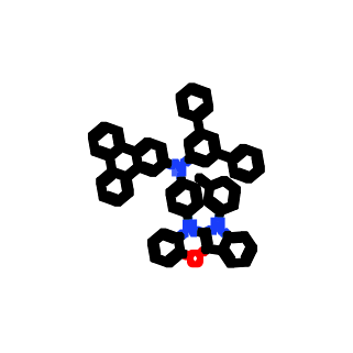 CC1C=C(n2c3c(c4ccccc42)Oc2ccccc2N3c2ccc(N(c3cc(-c4ccccc4)cc(-c4ccccc4)c3)c3ccc4c5ccccc5c5ccccc5c4c3)cc2)C=CC1